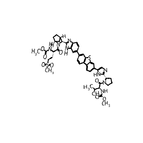 COC(=O)N[C@@H](CCS(C)(=O)=O)C(=O)N1[C@@H]2CC[C@@H](C2)[C@H]1c1nc2ccc(-c3ccc4c(c3)sc3cc(-c5cnc([C@@H]6CCCN6C(=O)[C@@H](NC(=O)OC)C(C)C)[nH]5)ccc34)cc2[nH]1